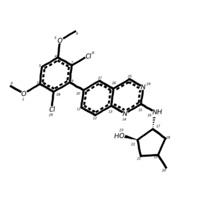 COc1cc(OC)c(Cl)c(-c2ccc3nc(N[C@@H]4CC(C)C[C@H]4O)ncc3c2)c1Cl